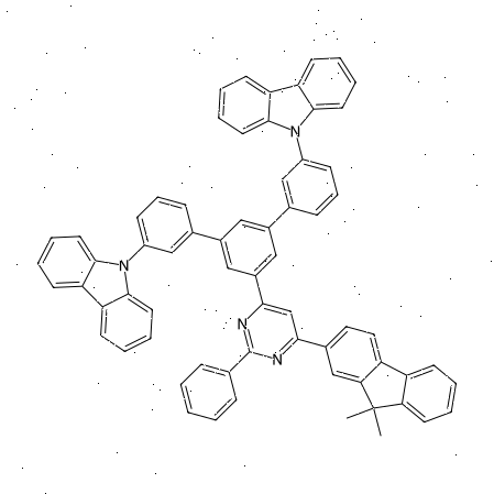 CC1(C)c2ccccc2-c2ccc(-c3cc(-c4cc(-c5cccc(-n6c7ccccc7c7ccccc76)c5)cc(-c5cccc(-n6c7ccccc7c7ccccc76)c5)c4)nc(-c4ccccc4)n3)cc21